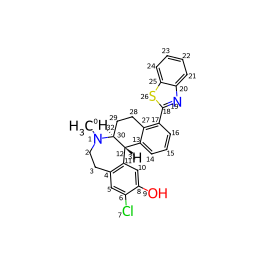 CN1CCc2cc(Cl)c(O)cc2[C@H]2c3cccc(-c4nc5ccccc5s4)c3CC[C@@H]21